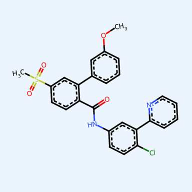 COc1cccc(-c2cc(S(C)(=O)=O)ccc2C(=O)Nc2ccc(Cl)c(-c3ccccn3)c2)c1